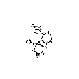 C=O.O=[N+]([O-])c1cccnc1.O=[N+]([O-])c1cccnc1